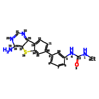 CCNC(=O)Nc1cccc(-c2ccc3c(c2)sc2c(N)ncnc23)c1